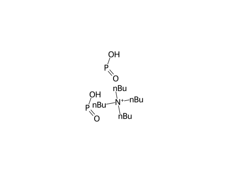 CCCC[N+](CCCC)(CCCC)CCCC.O=PO.O=PO